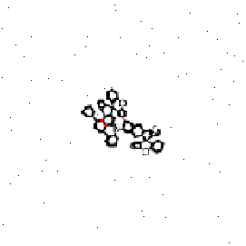 c1ccc(-c2ccc(-c3ccccc3N(c3ccc4c(c3)C3(c5ccccc5Oc5ccccc53)c3ccccc3-4)c3ccc4cc5c(cc4c3)C3(c4ccccc4Oc4ccccc43)c3ccccc3-5)cc2)cc1